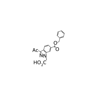 CC(=O)c1nn(CC(=O)O)c2cc(C(=O)OCc3ccccc3)ccc12